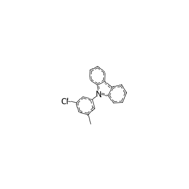 Cc1cc(Cl)cc(-n2c3ccccc3c3ccccc32)c1